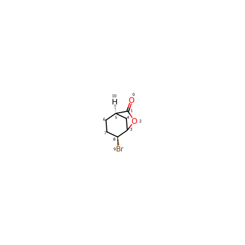 O=C1OC2C[C@H]1CC[C@@H]2Br